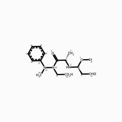 CCO[C@@H](CC=O)N[C@@H](C)C(=O)N(CC(=O)O)N(C)c1ccccc1